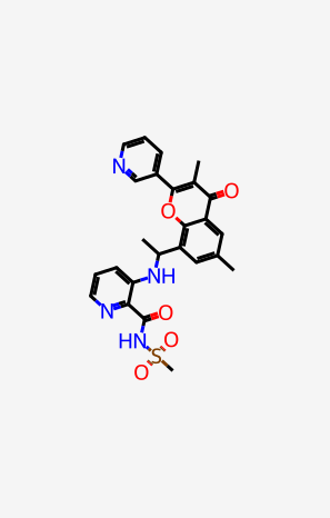 Cc1cc(C(C)Nc2cccnc2C(=O)NS(C)(=O)=O)c2oc(-c3cccnc3)c(C)c(=O)c2c1